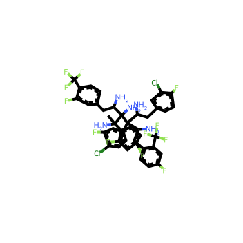 CC(N)(c1ccc(F)cc1F)C(N)(C(N)Cc1ccc(C(F)(F)F)c(F)c1)C(c1ccc(Cl)c(F)c1)(C(N)Cc1ccc(F)c(Cl)c1)C(N)Cc1ccc(F)cc1C(F)(F)F